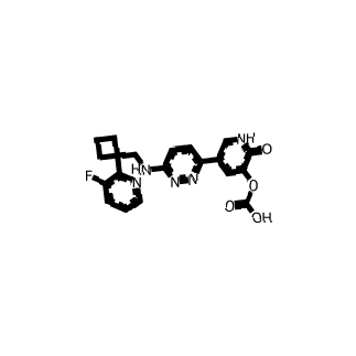 O=C(O)Oc1cc(-c2ccc(NCC3(c4ncccc4F)CCC3)nn2)c[nH]c1=O